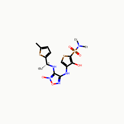 CCN(CC)S(=O)(=O)c1scc(Nc2no[n+]([O-])c2N[C@@H](c2ccc(C)s2)C(C)(C)C)c1O